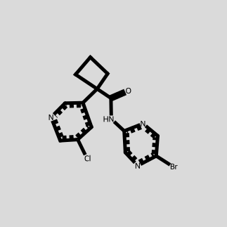 O=C(Nc1cnc(Br)cn1)C1(c2cncc(Cl)c2)CCC1